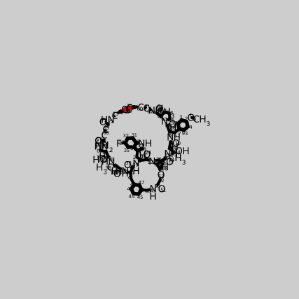 COc1ccc(C[C@@H]2NC(=O)[C@H]([C@@H](C)O)NC(=O)[C@@H]3[C@@H]4CCN3C(=O)[C@H](Cc3c[nH]c5ccc(F)cc35)NC(=O)[C@H](Cc3cccc(c3)CNC(=O)CO4)NC(=O)[C@@H](C)NC(O)[C@H](CN)NC(=O)CCC(=O)NCc3ccc(cc3)CCNC(=O)[C@]3(C)CCCN3C2=O)cc1